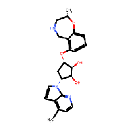 Cc1ccnc2c1ccn2[C@@H]1C[C@H](Oc2cccc3c2CNC[C@H](C)O3)[C@@H](O)[C@H]1O